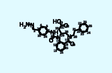 NN=Cc1ccc(NC(=O)N2c3ccccc3C(=O)N(CCc3ccccc3)CC2CC(=O)O)cc1